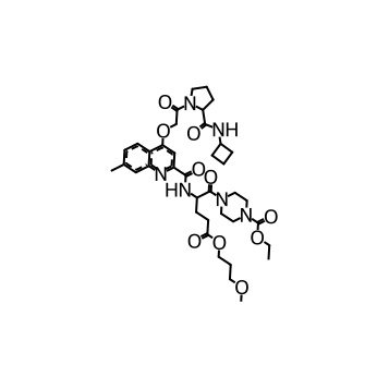 CCOC(=O)N1CCN(C(=O)C(CCC(=O)OCCCOC)NC(=O)c2cc(OCC(=O)N3CCCC3C(=O)NC3CCC3)c3ccc(C)cc3n2)CC1